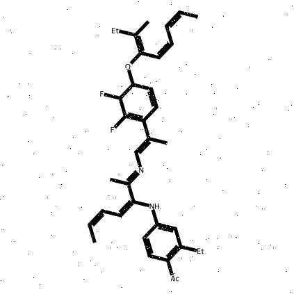 C\C=C/C=C\C(OC1C=CC(/C(C)=C/N=C(C)/C(=C\C=C/C)Nc2ccc(C(C)=O)c(CC)c2)=C(F)C1F)=C(/C)CC